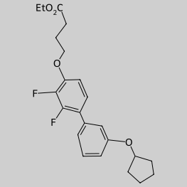 CCOC(=O)CCCOc1ccc(-c2cccc(OC3CCCC3)c2)c(F)c1F